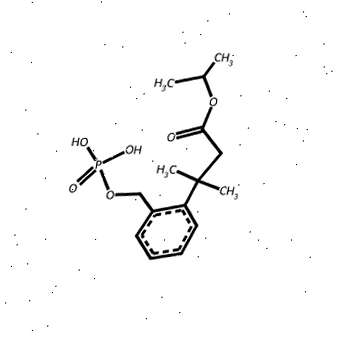 CC(C)OC(=O)CC(C)(C)c1ccccc1COP(=O)(O)O